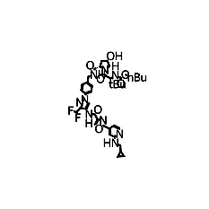 CCCCOC(=O)N[C@H](C(=O)N1C[C@H](O)C[C@H]1C(=O)NCc1ccc(-n2cc(NC(=O)c3coc(-c4ccnc(NCC5CC5)c4)n3)c(C(F)F)n2)cc1)C(C)(C)C